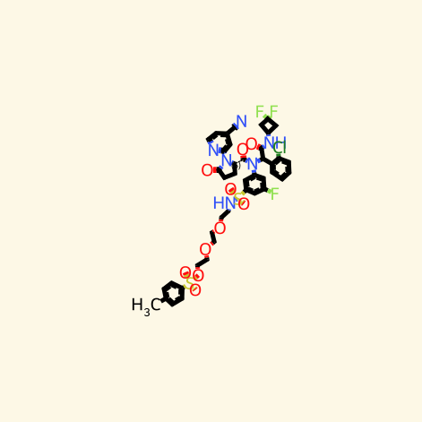 Cc1ccc(S(=O)(=O)OCCOCCOCCNS(=O)(=O)c2cc(F)cc(N(C(=O)[C@@H]3CCC(=O)N3c3cc(C#N)ccn3)C(C(=O)NC3CC(F)(F)C3)c3ccccc3Cl)c2)cc1